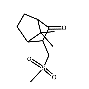 CC1(C)C2CCC1C(CS(C)(=O)=O)C2=O